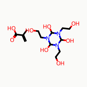 C=C(C)C(=O)O.OCCN1C(O)N(CCO)C(O)N(CCO)C1O